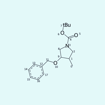 CC1CN(C(=O)OC(C)(C)C)CC1OCc1ccccc1